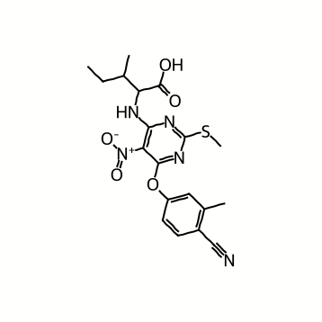 CCC(C)C(Nc1nc(SC)nc(Oc2ccc(C#N)c(C)c2)c1[N+](=O)[O-])C(=O)O